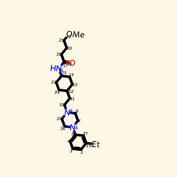 CCc1cccc(N2CCN(CCC3CCC(NC(=O)CCCOC)CC3)CC2)c1